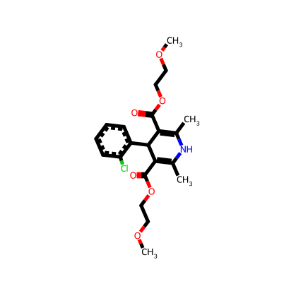 COCCOC(=O)C1=C(C)NC(C)=C(C(=O)OCCOC)C1c1ccccc1Cl